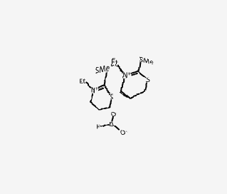 CC[N+]1=C(SC)SCCC1.CC[N+]1=C(SC)SCCC1.[O-]B([O-])F